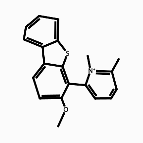 COc1ccc2c(sc3ccccc32)c1-c1cccc(C)[n+]1C